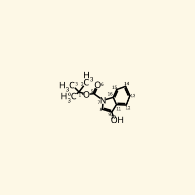 CC(C)(C)OC(=O)n1cc(O)c2ccccc21